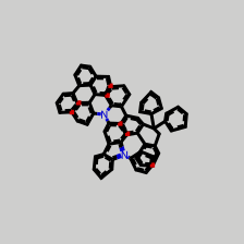 c1ccc(-c2cccc3cccc(-c4ccccc4N(c4ccc5c(c4)c4ccccc4n5-c4ccccc4)c4ccccc4-c4ccc5c(c4)C(c4ccccc4)(c4ccccc4)Cc4ccccc4-5)c23)cc1